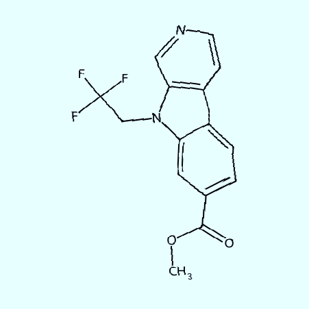 COC(=O)c1ccc2c3ccncc3n(CC(F)(F)F)c2c1